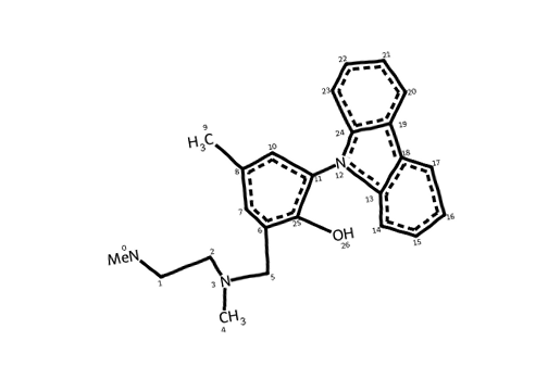 CNCCN(C)Cc1cc(C)cc(-n2c3ccccc3c3ccccc32)c1O